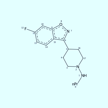 CCCNN1CCC(c2noc3cc(F)ccc23)CC1